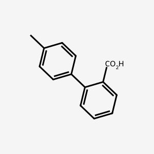 Cc1ccc(-c2ccccc2C(=O)O)cc1